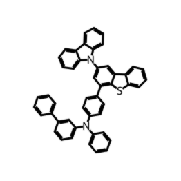 c1ccc(-c2cccc(N(c3ccccc3)c3ccc(-c4cc(-n5c6ccccc6c6ccccc65)cc5c4sc4ccccc45)cc3)c2)cc1